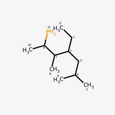 CCC(CC(C)C)C(C)C(C)P